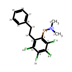 CN(C)Sc1c(F)c(F)c(F)c(F)c1CCc1ccccc1